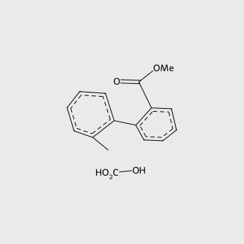 COC(=O)c1ccccc1-c1ccccc1C.O=C(O)O